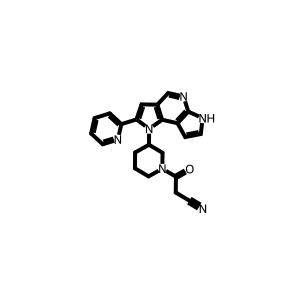 N#CCC(=O)N1CCCC(n2c(-c3ccccn3)cc3cnc4[nH]ccc4c32)C1